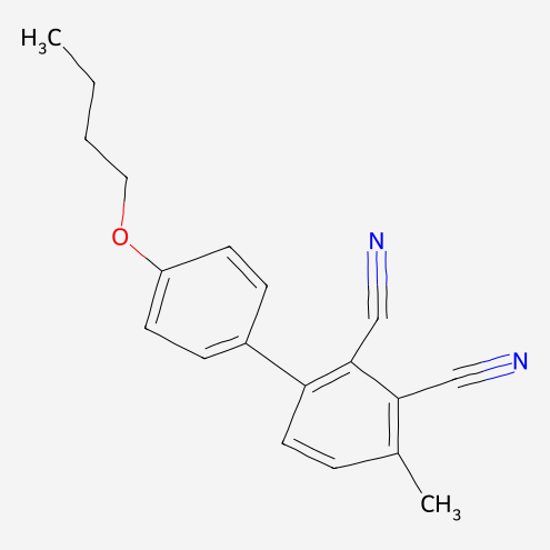 CCCCOc1ccc(-c2ccc(C)c(C#N)c2C#N)cc1